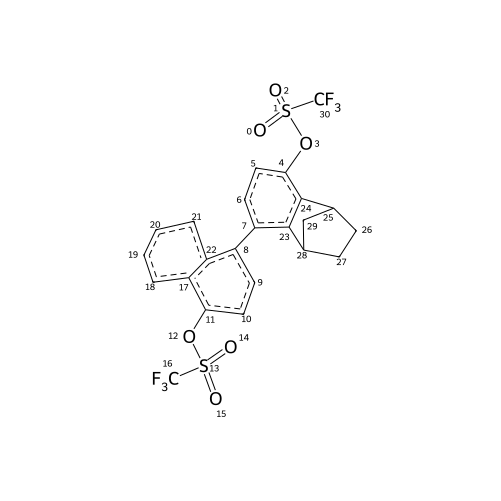 O=S(=O)(Oc1ccc(-c2ccc(OS(=O)(=O)C(F)(F)F)c3ccccc23)c2c1C1CCC2C1)C(F)(F)F